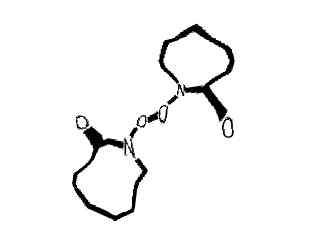 O=C1CCCCCN1OON1CCCCCC1=O